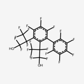 OC(F)(F)C(F)(c1c(F)c(F)c(F)c(-c2c(F)c(F)c(F)c(F)c2F)c1C(F)(C(O)(F)F)C(F)(F)F)C(F)(F)F